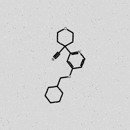 N#CC1(c2cc(OCC3CCCCC3)ccn2)CCOCC1